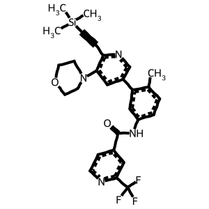 Cc1ccc(NC(=O)c2ccnc(C(F)(F)F)c2)cc1-c1cnc(C#C[Si](C)(C)C)c(N2CCOCC2)c1